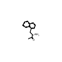 N[C@@H](Cc1cccc2ccccc12)C(=O)I